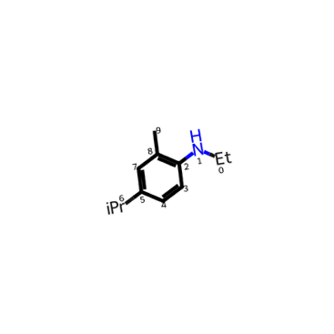 CCNc1ccc(C(C)C)cc1C